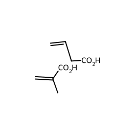 C=C(C)C(=O)O.C=CCC(=O)O